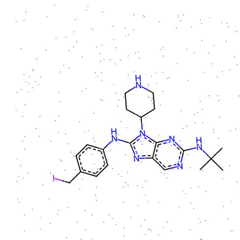 CC(C)(C)Nc1ncc2nc(Nc3ccc(CI)cc3)n(C3CCNCC3)c2n1